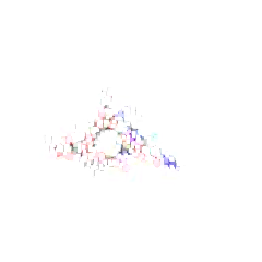 CC[C@H]1OC(=O)[C@H](C)[C@@H](O[C@H]2C[C@@](C)(OC)[C@@H](O)[C@H](C)O2)[C@H](C)[C@@H](O[C@H]2C[C@@H](N(C)CCc3cn([C@H](CF)[C@H](OC)c4ccc(-n5ccnn5)cc4)nn3)C[C@@H](C)O2)[C@](C)(OC)C[C@@H](C)C(=O)[C@H](C)[C@H]2N(CCOCCOC)C(=O)O[C@]12C